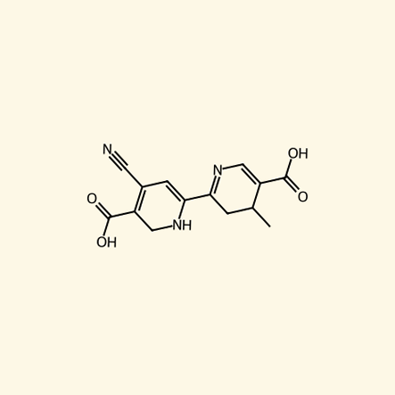 CC1CC(C2=CC(C#N)=C(C(=O)O)CN2)=NC=C1C(=O)O